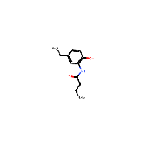 CNCCC(=O)Nc1cc(COC(C)=O)ccc1O